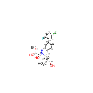 CCOC(O)C(O)N[C@H](Cc1ccc(-c2cc(Cl)ccc2F)cc1)C[C@@](C)(CO)C(=O)O